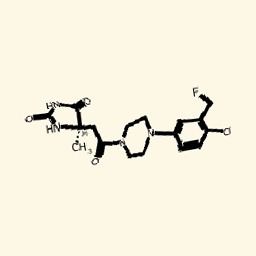 C[C@]1(CC(=O)N2CCN(c3ccc(Cl)c(CF)c3)CC2)NC(=O)NC1=O